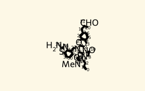 C=CCN(C(=O)NC)N1CC(=O)N2[C@@H](Cc3ccc(C[C@H](C)C=O)cc3)C(=O)N(Cc3cccc4sc(N)nc34)C[C@@H]21